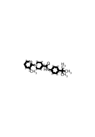 Cc1cccnc1N1CC=C(C(=O)Nc2ccc(C(C)(C)C)cc2)CC1